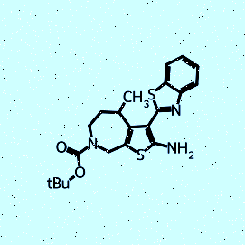 CC1CCN(C(=O)OC(C)(C)C)Cc2sc(N)c(-c3nc4ccccc4s3)c21